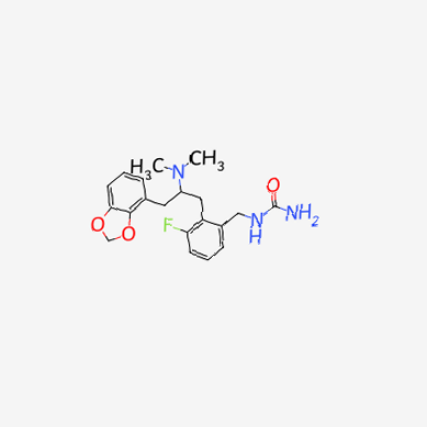 CN(C)C(Cc1cccc2c1OCO2)Cc1c(F)cccc1CNC(N)=O